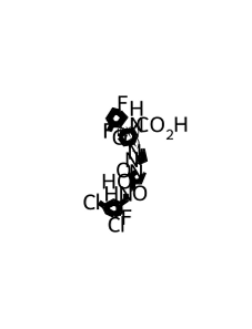 O=C(O)N[C@H]1C[C@@H](n2ccc(N3CCC(O)(C(=O)NCc4cc(Cl)cc(Cl)c4F)C3=O)n2)CO[C@@H]1c1cc(F)ccc1F